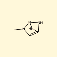 CN1C=C2NN1N2